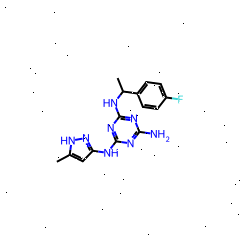 Cc1cc(Nc2nc(N)nc(NC(C)c3ccc(F)cc3)n2)n[nH]1